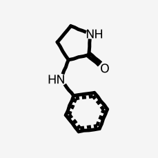 O=C1NCCC1Nc1ccccc1